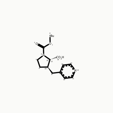 CC(C)(C)OC(=O)N1CC[C@H](Cc2ccncc2)[C@H]1C(=O)O